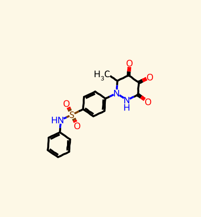 CC1C(=O)C(=O)C(=O)NN1c1ccc(S(=O)(=O)Nc2ccccc2)cc1